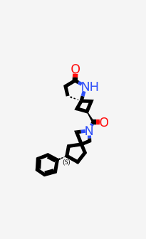 O=C1CC[C@]2(C[C@H](C(=O)N3CC4(CC[C@H](c5ccccc5)C4)C3)C2)N1